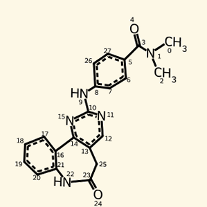 CN(C)C(=O)c1ccc(Nc2ncc3c(n2)-c2ccccc2NC(=O)C3)cc1